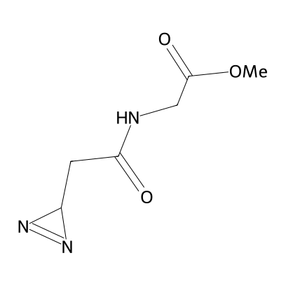 COC(=O)CNC(=O)CC1N=N1